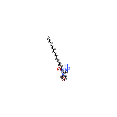 CCC=CCC=CCC=CCC=CCC=CCCCC(=O)NCC(CN)N1CCOCC1